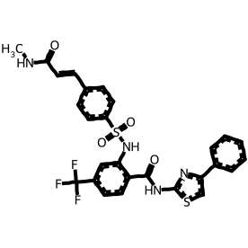 CNC(=O)/C=C/c1ccc(S(=O)(=O)Nc2cc(C(F)(F)F)ccc2C(=O)Nc2nc(-c3ccccc3)cs2)cc1